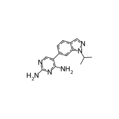 CC(C)n1ncc2ccc(-c3cnc(N)nc3N)cc21